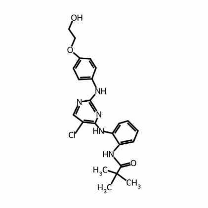 CC(C)(C)C(=O)Nc1ccccc1Nc1nc(Nc2ccc(OCCO)cc2)ncc1Cl